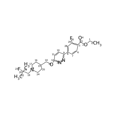 CCOC(=O)c1ccc(-c2ccc(OCC3CCN(CC(C)(C)F)CC3)nn2)cc1F